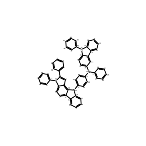 c1ccc(-c2cc3c(ccc4c5ccccc5n(-c5ccc(N(c6ccccc6)c6ccc7c(c6)c6ccccc6n7-c6ccccc6)cc5)c43)n2-c2ccccc2)cc1